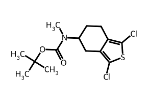 CN(C(=O)OC(C)(C)C)C1CCc2c(Cl)sc(Cl)c2C1